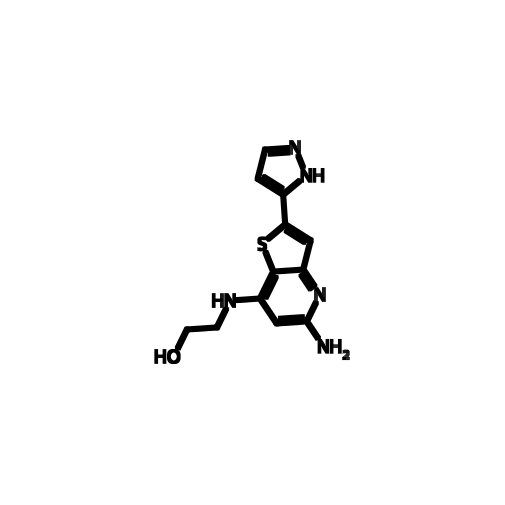 Nc1cc(NCCO)c2sc(-c3ccn[nH]3)cc2n1